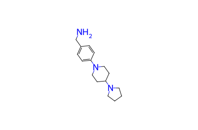 NCc1ccc(N2CCC(N3CCCC3)CC2)cc1